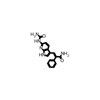 NC(=O)Nc1ccc2c(/C=C(/C(N)=O)c3ccccc3)c[nH]c2n1